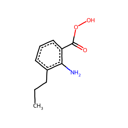 CCCc1cccc(C(=O)OO)c1N